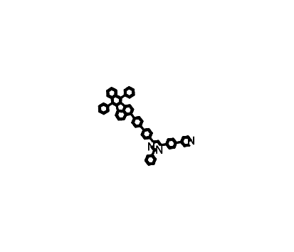 c1ccc(-c2nc(-c3ccc(-c4ccncc4)cc3)cc(-c3ccc(-c4ccc(-c5ccc6c7c(cccc57)-c5c-6c(-c6ccccc6)c6ccccc6c5-c5ccccc5)cc4)cc3)n2)cc1